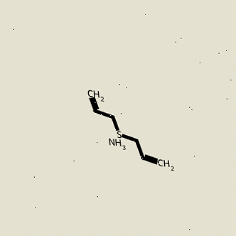 C=CCSCC=C.N